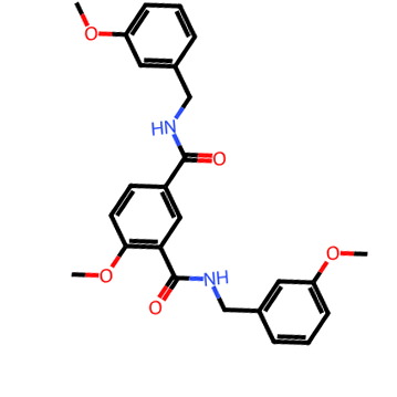 COc1cccc(CNC(=O)c2ccc(OC)c(C(=O)NCc3cccc(OC)c3)c2)c1